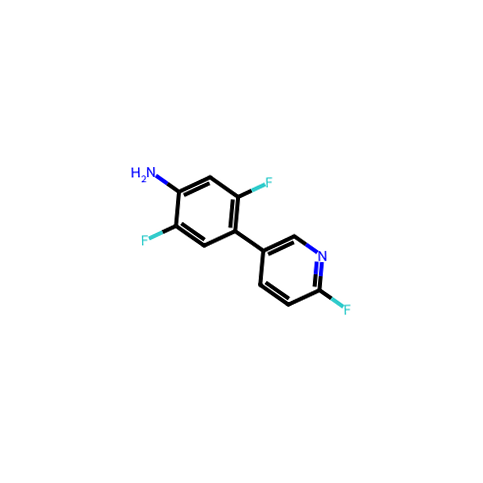 Nc1cc(F)c(-c2ccc(F)nc2)cc1F